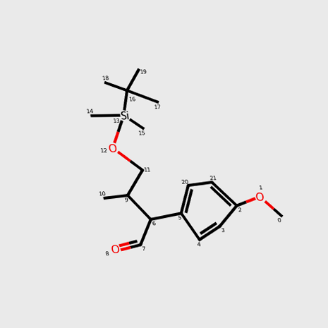 COc1ccc(C(C=O)C(C)CO[Si](C)(C)C(C)(C)C)cc1